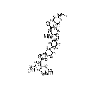 NC1CCC(n2cc3c(nc2=O)Nc2cc(C4CCN(CC(=O)N(CCCO)C5CCNCC5)CC4)ccc2O3)CC1